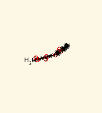 C=CC(=O)OCCCCCC(=O)OCCCCCCOc1ccc(C(=O)Oc2ccc(-c3ccccc3)cc2)cc1